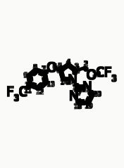 FC(F)(F)OC[C@@H]1C[C@H](Oc2ccc(C(F)(F)F)cc2)CN1c1ncccn1